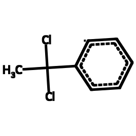 CC(Cl)(Cl)c1[c]cccc1